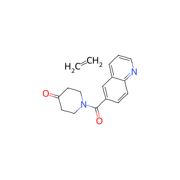 C=C.O=C1CCN(C(=O)c2ccc3ncccc3c2)CC1